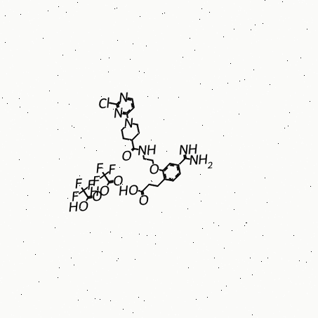 N=C(N)c1ccc(CCC(=O)O)c(OCCNC(=O)C2CCN(c3ccnc(Cl)n3)CC2)c1.O=C(O)C(F)(F)F.O=C(O)C(F)(F)F